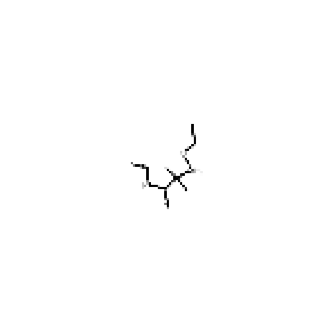 [CH2]CNC(C)C(C)(C)[SiH2]OCC